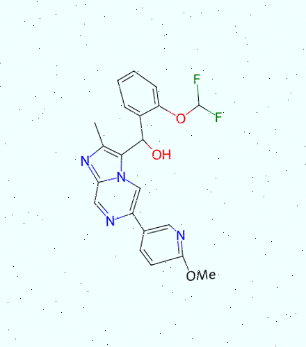 COc1ccc(-c2cn3c(C(O)c4ccccc4OC(F)F)c(C)nc3cn2)cn1